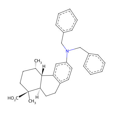 C[C@H]1CC[C@](C)(C(=O)O)[C@@H]2CCc3ccc(N(Cc4ccccc4)Cc4ccccc4)cc3[C@H]21